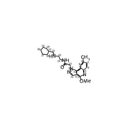 COc1nc2ccc(C)cc2c2c1cnn2CC(=O)NCCNCC1CCCCC1